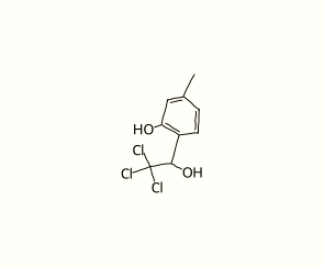 Cc1ccc(C(O)C(Cl)(Cl)Cl)c(O)c1